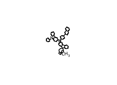 C[C@]12CC3CC1CC2CCC31c2ccccc2-c2cc(N(c3ccc(-c4ccc5ccccc5c4)cc3)c3ccc4c(c3)c3ccccc3n4-c3ccccc3)ccc21